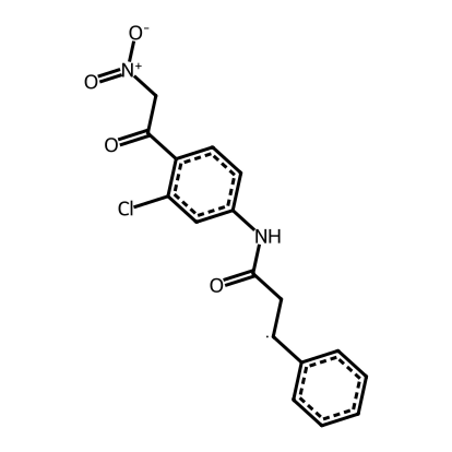 O=C(C[CH]c1ccccc1)Nc1ccc(C(=O)C[N+](=O)[O-])c(Cl)c1